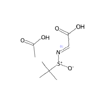 CC(=O)O.CC(C)(C)[S+]([O-])/N=C/C(=O)O